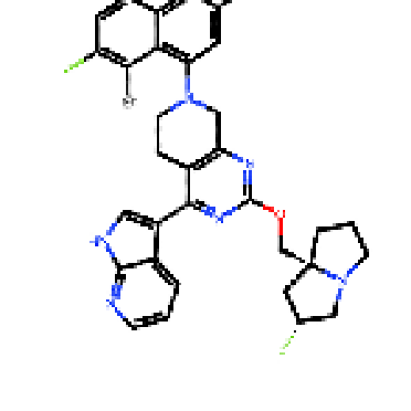 CCc1c(F)ccc2cc(O)cc(N3CCc4c(nc(OC[C@@]56CCCN5C[C@H](F)C6)nc4-c4c[nH]c5ncccc45)C3)c12